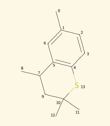 Cc1ccc2c(c1)C(C)CC(C)(C)S2